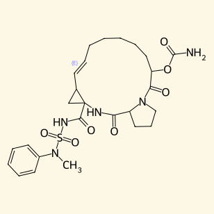 CN(c1ccccc1)S(=O)(=O)NC(=O)C12CC1/C=C/CCCCCC(OC(N)=O)C(=O)N1CCCC1C(=O)N2